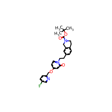 CC(C)(C)OC(=O)N1CCc2ccc(CCn3ccc(OCc4ccc(F)cn4)cc3=O)cc2C1